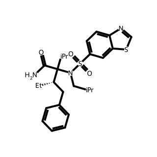 CC[C@@H](Cc1ccccc1)C(C(N)=O)(C(C)C)N(CC(C)C)S(=O)(=O)c1ccc2ncsc2c1